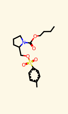 CCCCOC(=O)N1CCCC1COS(=O)(=O)c1ccc(C)cc1